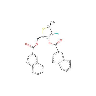 CC(=O)O[C@@H]1S[C@H](COC(=O)c2ccc3ccccc3c2)[C@@H](OC(=O)c2ccc3ccccc3c2)[C@@H]1F